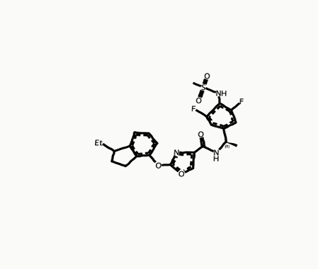 CCC1CCc2c(Oc3nc(C(=O)N[C@H](C)c4cc(F)c(NS(C)(=O)=O)c(F)c4)co3)cccc21